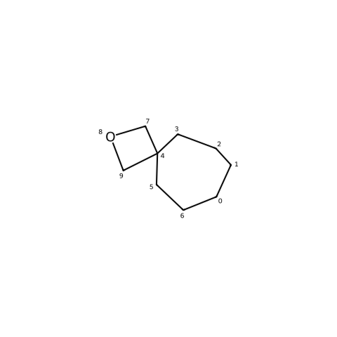 C1CCCC2(CC1)COC2